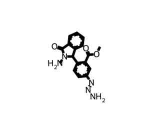 COC(=O)c1cc(N=NN)ccc1C1c2ccccc2C(=O)N1N